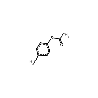 [CH2]c1ccc(SC(C)=O)cc1